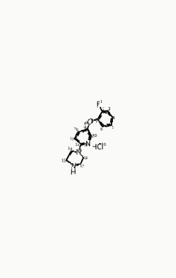 Cl.Fc1ccccc1Oc1ccc(N2CCNCC2)nc1